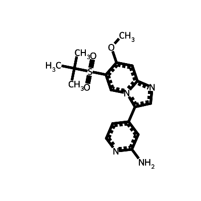 COc1cc2ncc(-c3ccnc(N)c3)n2cc1S(=O)(=O)C(C)(C)C